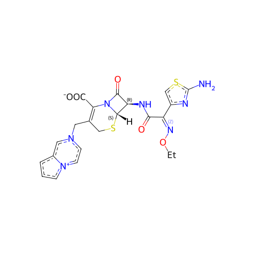 CCO/N=C(\C(=O)N[C@@H]1C(=O)N2C(C(=O)[O-])=C(Cn3cc[n+]4cccc-4c3)CS[C@@H]12)c1csc(N)n1